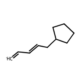 [CH]=CC=CCC1CCCC1